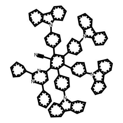 N#Cc1c(-c2ccc(-n3c4ccccc4c4ccccc43)cc2)c(-c2ccc(-n3c4ccccc4c4ccccc43)cc2)c(-c2ccc(-n3c4ccccc4c4ccccc43)cc2)c(-c2ccc(-n3c4ccccc4c4ccccc43)cc2)c1-c1cc(-c2ccccc2)nc(-c2ccccc2)n1